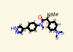 CNC(C(=O)N(C)c1ccc(-c2cn[nH]c2)cc1)c1ccc(N(C)C)cc1